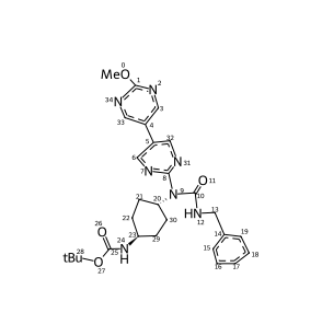 COc1ncc(-c2cnc(N(C(=O)NCc3ccccc3)[C@H]3CC[C@H](NC(=O)OC(C)(C)C)CC3)nc2)cn1